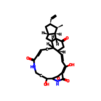 C=C[C@H]1C[C@@H]2C[C@@H]3[C@H]4C/C=C\C(=O)NCCC(O)C5NC(=O)/C(=C(O)/C=C/[C@@H]4CC(=O)[C@H]3[C@@H]2[C@H]1C)C5=O